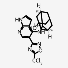 O[C@]12CC3C[C@H](C1)[C@H](Nc1c(-c4noc(C(Cl)(Cl)Cl)n4)cnc4[nH]ccc14)[C@@H](C3)C2